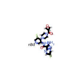 CCCCN1CC(F)C(N2CCN(C(=O)C3COC3)CC2)C(NC(=O)c2c(N)nn3cc(F)cnc23)C1